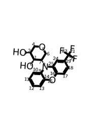 O[C@H]1[C@@H](O)COC[C@@H]1N1c2ccccc2Oc2ccc(C(F)(F)F)cc21